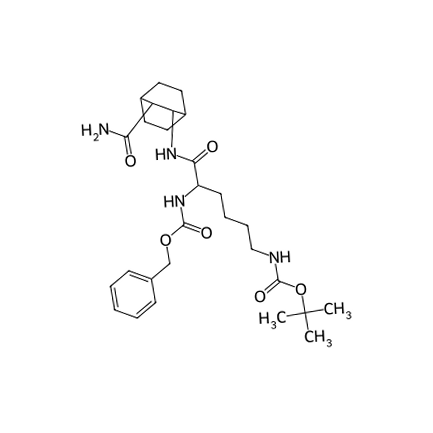 CC(C)(C)OC(=O)NCCCCC(NC(=O)OCc1ccccc1)C(=O)NC1C2CCC(CC2)C1C(N)=O